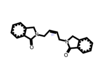 O=C1c2ccccc2CN1C/C=C\CN1Cc2ccccc2C1=O